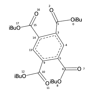 CC(C)COC(=O)c1cc(C(=O)OCC(C)C)c(C(=O)OCC(C)C)cc1C(=O)OCC(C)C